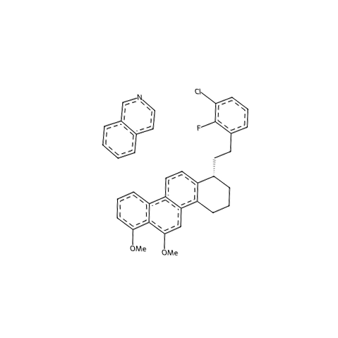 COc1cccc2c1c(OC)cc1c3c(ccc12)[C@H](CCc1cccc(Cl)c1F)CCC3.c1ccc2cnccc2c1